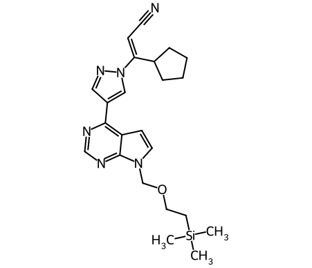 C[Si](C)(C)CCOCn1ccc2c(-c3cnn(C(=CC#N)C4CCCC4)c3)ncnc21